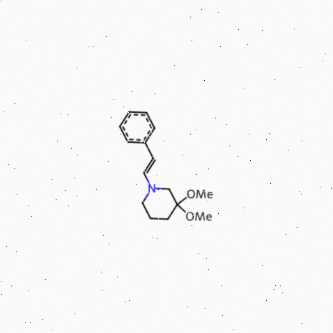 COC1(OC)CCCN(C=Cc2ccccc2)C1